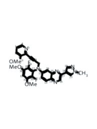 COc1cccnc1C#CCN(c1ccc2ncc(-c3cnn(C)c3)nc2c1)c1c(F)c(OC)cc(OC)c1F